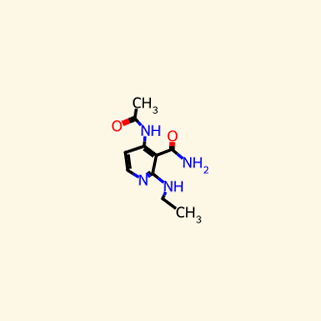 CCNc1nccc(NC(C)=O)c1C(N)=O